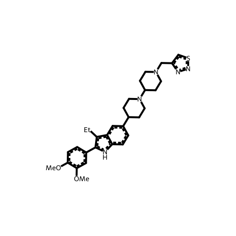 CCc1c(-c2ccc(OC)c(OC)c2)[nH]c2ccc(C3CCN(C4CCN(Cc5csnn5)CC4)CC3)cc12